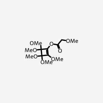 COCC(=O)OC1=C(OC)C(OC)(OC)C1(OC)OC